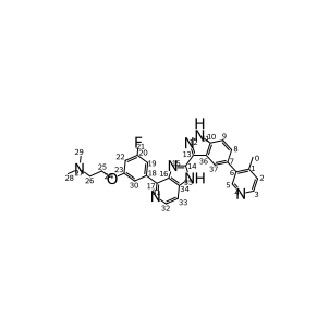 Cc1ccncc1-c1ccc2[nH]nc(-c3nc4c(-c5cc(F)cc(OCCN(C)C)c5)nccc4[nH]3)c2c1